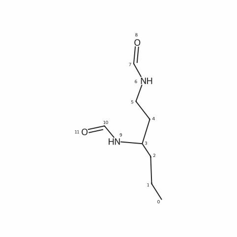 CCCC(CCNC=O)NC=O